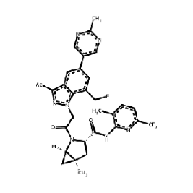 CC(=O)c1nn(CC(=O)N2[C@H](C(=O)Nc3nc(C(F)(F)F)ccc3C)C[C@@]3(C)C[C@@H]23)c2c(CF)cc(-c3cnc(C)nc3)cc12